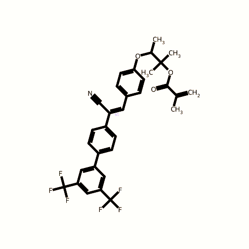 C=C(C)C(=O)OC(C)(C)C(C)Oc1ccc(/C=C(\C#N)c2ccc(-c3cc(C(F)(F)F)cc(C(F)(F)F)c3)cc2)cc1